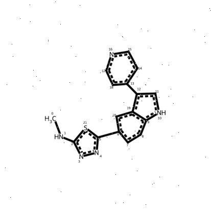 CNc1nnc(-c2ccc3[nH]cc(-c4ccncc4)c3c2)s1